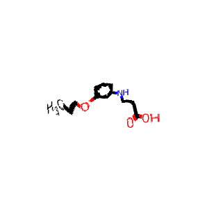 CCCOc1cccc(NCCC(=O)O)c1